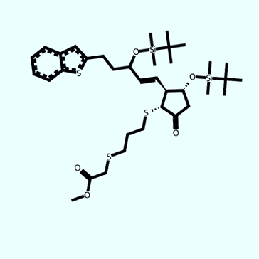 COC(=O)CSCCCS[C@H]1C(=O)C[C@@H](O[Si](C)(C)C(C)(C)C)[C@@H]1/C=C/C(CCc1cc2ccccc2s1)O[Si](C)(C)C(C)(C)C